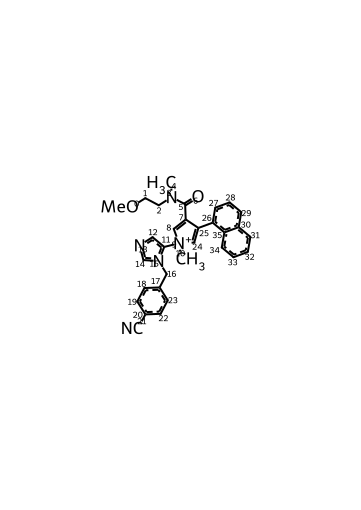 COCCN(C)C(=O)C1=C[N+](C)(c2cncn2Cc2ccc(C#N)cc2)C=C1c1cccc2ccccc12